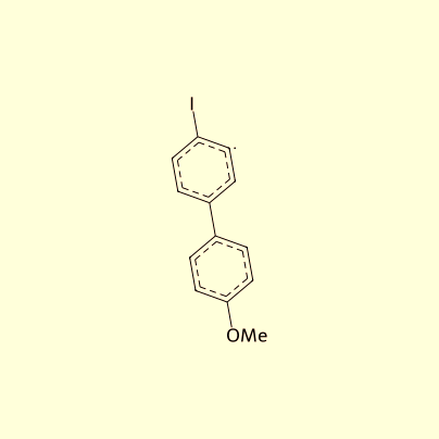 COc1ccc(-c2c[c]c(I)cc2)cc1